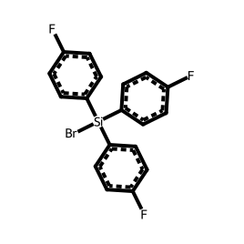 Fc1ccc([Si](Br)(c2ccc(F)cc2)c2ccc(F)cc2)cc1